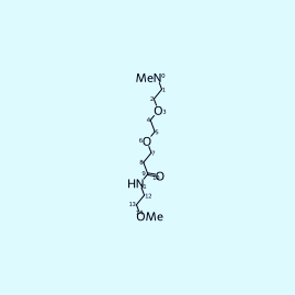 CNCCOCCOCCC(=O)NCCOC